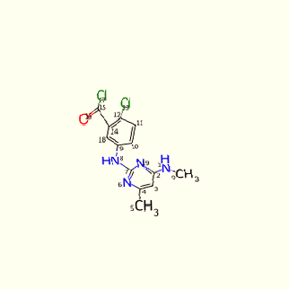 CNc1cc(C)nc(Nc2ccc(Cl)c(C(=O)Cl)c2)n1